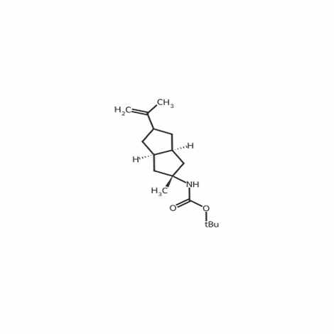 C=C(C)C1C[C@@H]2C[C@@](C)(NC(=O)OC(C)(C)C)C[C@@H]2C1